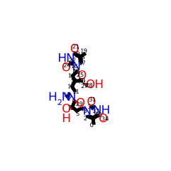 Cc1cn(C2CC(O)C(N(N)CCC3C[C@H](n4cc(C)c(=O)[nH]c4=O)O[C@@H]3CO)O2)c(=O)[nH]c1=O